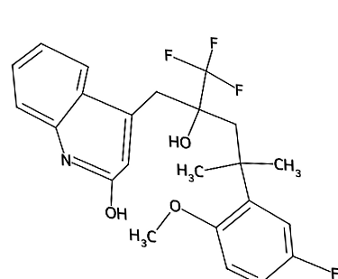 COc1ccc(F)cc1C(C)(C)CC(O)(Cc1cc(O)nc2ccccc12)C(F)(F)F